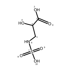 O=C(O)C(O)CNS(=O)(=O)O